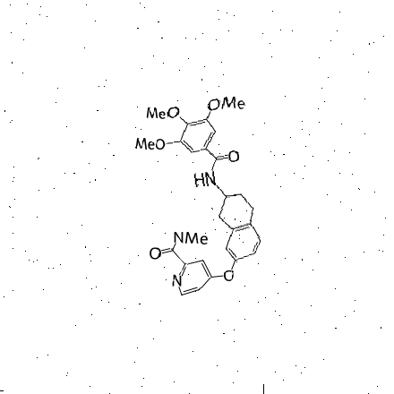 CNC(=O)c1cc(Oc2ccc3c(c2)CC(NC(=O)c2cc(OC)c(OC)c(OC)c2)CC3)ccn1